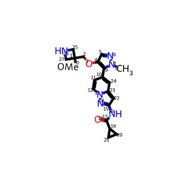 COC1(COc2cnn(C)c2-c2ccn3nc(NC(=O)C4CC4)cc3c2)CNC1